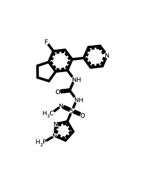 CN=S(=O)(NC(=O)Nc1c(-c2ccncc2)cc(F)c2c1CCC2)c1ccn(P)n1